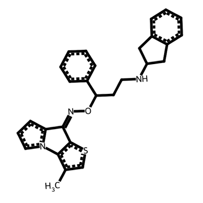 Cc1csc2c1-n1cccc1C2=NOC(CCNC1Cc2ccccc2C1)c1ccccc1